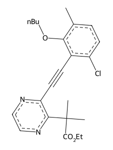 CCCCOc1c(C)ccc(Cl)c1C#Cc1nccnc1C(C)(C)C(=O)OCC